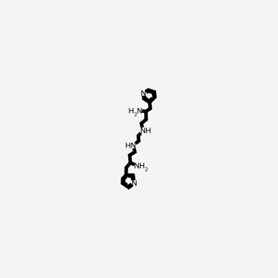 NC(CCNCCNCCC(N)Cc1cccnc1)Cc1cccnc1